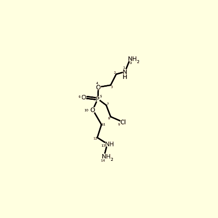 NNCCOP(=O)(CCCl)OCCNN